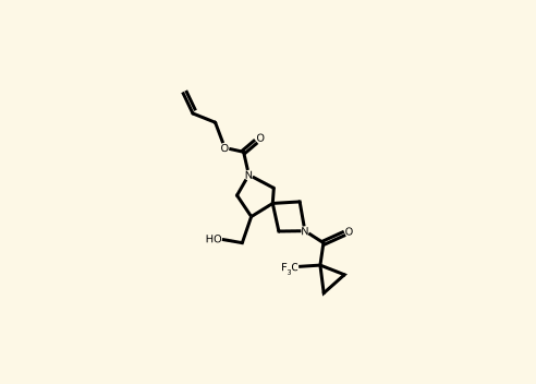 C=CCOC(=O)N1CC(CO)C2(C1)CN(C(=O)C1(C(F)(F)F)CC1)C2